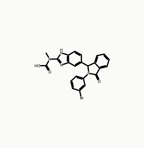 CN(C(=O)O)c1nc2cc(C3c4ccccc4C(=O)N3c3cccc(Br)c3)ccc2[nH]1